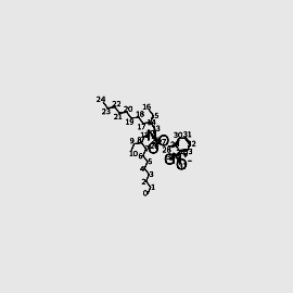 CCCCCCCCC(CC)CN(CC(CC)CCCCCCCC)C(=O)OCc1ccccc1[N+](=O)[O-]